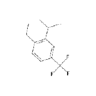 [CH2]C(C)c1cc(C(F)(F)F)ccc1CC